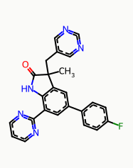 CC1(Cc2cncnc2)C(=O)Nc2c(-c3ncccn3)cc(-c3ccc(F)cc3)cc21